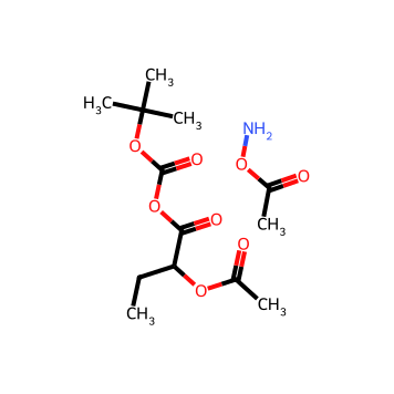 CC(=O)ON.CCC(OC(C)=O)C(=O)OC(=O)OC(C)(C)C